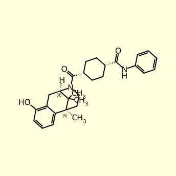 CC1(C)[C@H]2Cc3c(O)cccc3[C@]1(C)CCN2C(=O)[C@H]1CC[C@@H](C(=O)Nc2ccccc2)CC1